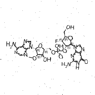 CO[C@@H]1[C@H](O)[C@@H](COP(=O)(O)O[C@@H]2[C@H](F)[C@@H](CO)O[C@H]2n2cnc3c(=O)[nH]c(N)nc32)O[C@H]1n1cnc2c(N)ncnc21